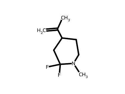 C=C(C)C1CCN(C)C(F)(F)C1